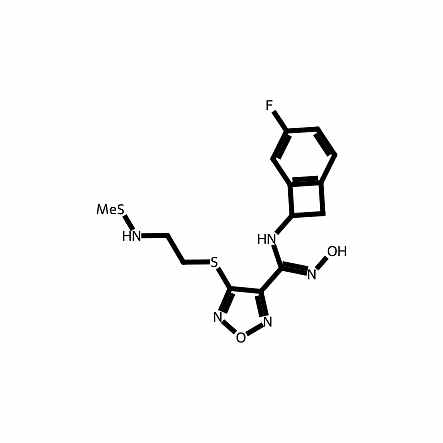 CSNCCSc1nonc1/C(=N/O)NC1Cc2ccc(F)cc21